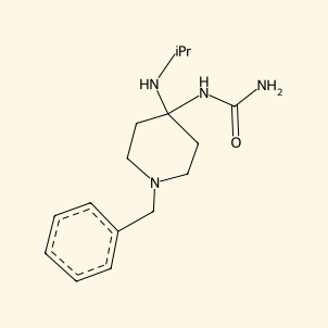 CC(C)NC1(NC(N)=O)CCN(Cc2ccccc2)CC1